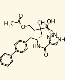 CC(=O)OCCC(C)(C[C@@H](Cc1ccc(-c2ccccc2)cc1)NC(=O)c1c[nH]nn1)C(=O)O